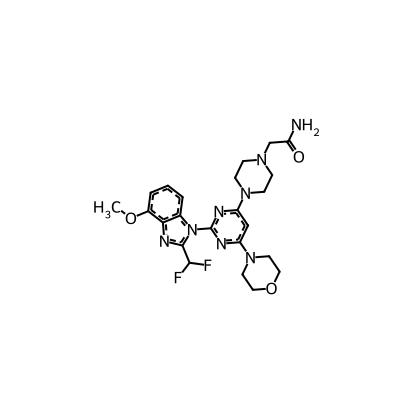 COc1cccc2c1nc(C(F)F)n2-c1nc(N2CCOCC2)cc(N2CCN(CC(N)=O)CC2)n1